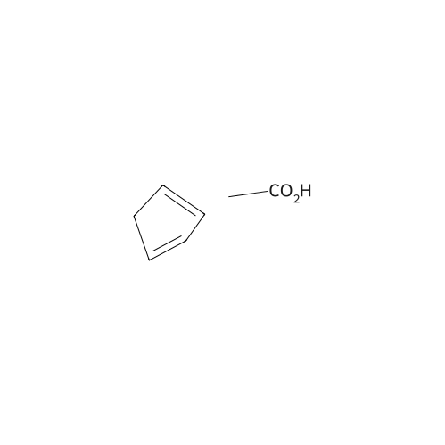 C1=CCC=C1.CC(=O)O